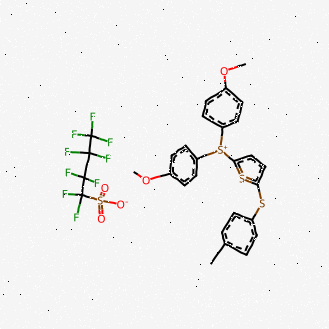 COc1ccc([S+](c2ccc(OC)cc2)c2ccc(Sc3ccc(C)cc3)s2)cc1.O=S(=O)([O-])C(F)(F)C(F)(F)C(F)(F)C(F)(F)F